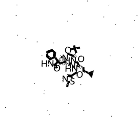 Cc1ncc(C(=O)N[C@@H](CCC2CC2)C(=O)N[C@@H](CC(C)(C)C)C(=O)N2C[C@]3(C[C@H]2C#N)C(=O)Nc2ccccc23)s1